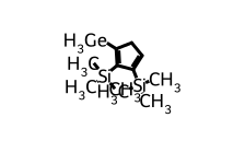 C[Si](C)(C)C1=CC[C]([GeH3])=C1[Si](C)(C)C